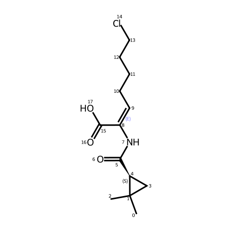 CC1(C)C[C@@H]1C(=O)N/C(=C/CCCCCl)C(=O)O